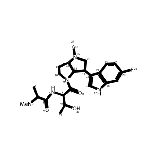 CNC(C)C(=O)NC(C(=O)N1CCC2C1C(c1c[nH]c3cc(F)ccc13)CN2C(C)=O)C(C)O